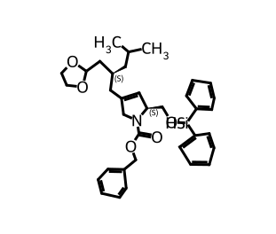 CC(C)C[C@@H](CC1=C[C@@H](CO[SiH](c2ccccc2)c2ccccc2)N(C(=O)OCc2ccccc2)C1)CC1OCCO1